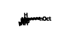 CCCCCCCC/C=C/CCCCCCCC(=O)Nc1nnc(NC2CC2)s1